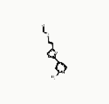 Cc1cc(-c2ccc(/C=C/OC=O)o2)ccn1